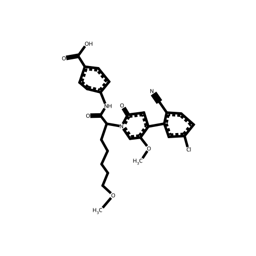 COCCCCCC(C(=O)Nc1ccc(C(=O)O)cc1)n1cc(OC)c(-c2cc(Cl)ccc2C#N)cc1=O